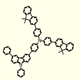 CC1(C)c2ccccc2-c2ccc(-c3ccc(N(c4ccc(-c5ccc6c(c5)C(C)(C)c5ccccc5-6)cc4)c4ccc(-c5ccc6c(c5)c5cc(-c7ccccc7)ccc5n6-c5ccccc5)cc4)cc3)cc21